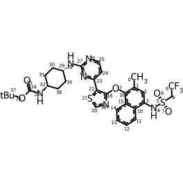 Cc1cc(NS(=O)(=O)CC(F)(F)F)c2ccccc2c1Oc1ncsc1-c1ccnc(N[C@H]2CC[C@H](NC(=O)OC(C)(C)C)CC2)n1